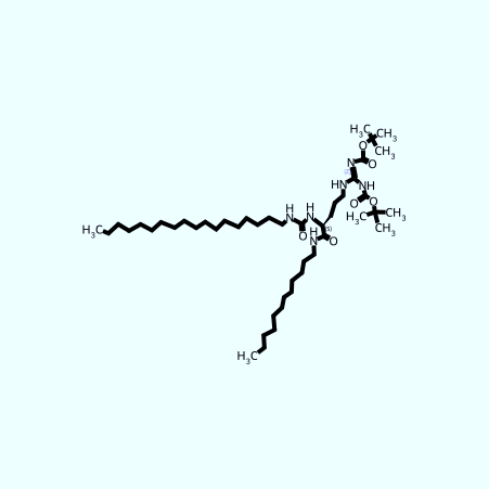 CCCCCCCCCCCCCCCCCCNC(=O)N[C@@H](CCCN/C(=N/C(=O)OC(C)(C)C)NC(=O)OC(C)(C)C)C(=O)NCCCCCCCCCCCC